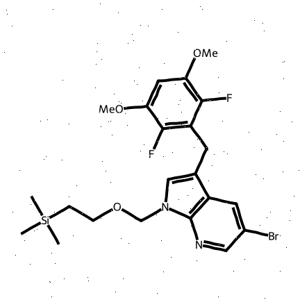 COc1cc(OC)c(F)c(Cc2cn(COCC[Si](C)(C)C)c3ncc(Br)cc23)c1F